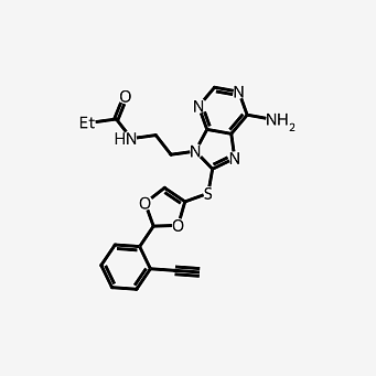 C#Cc1ccccc1C1OC=C(Sc2nc3c(N)ncnc3n2CCNC(=O)CC)O1